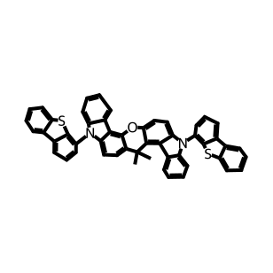 CC1(C)c2ccc3c(c2Oc2ccc4c(c21)c1ccccc1n4-c1cccc2c1sc1ccccc12)c1ccccc1n3-c1cccc2c1sc1ccccc12